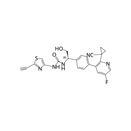 C#Cc1nc(NC(=O)N[C@@H](CO)c2ccc(-c3cc(F)cnc3C3(C#N)CC3)cc2)cs1